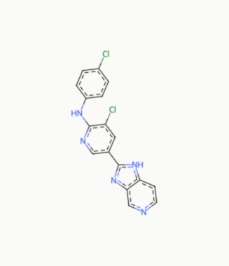 Clc1ccc(Nc2ncc(-c3nc4cnccc4[nH]3)cc2Cl)cc1